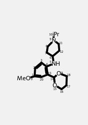 COc1ccc(NC2CCN(C(C)C)CC2)c(C2OCCCO2)c1